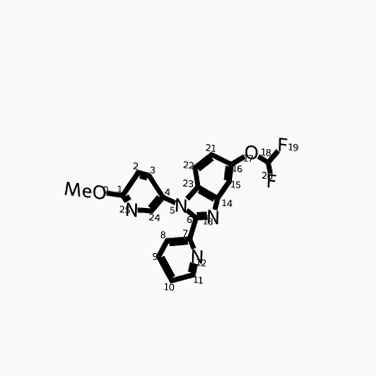 COc1ccc(-n2c(-c3ccccn3)nc3cc(OC(F)F)ccc32)cn1